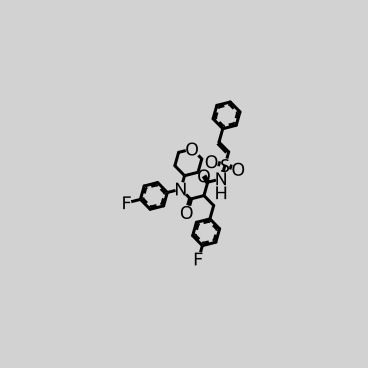 O=C(NS(=O)(=O)C=Cc1ccccc1)C(Cc1ccc(F)cc1)C(=O)N(c1ccc(F)cc1)C1CCOCC1